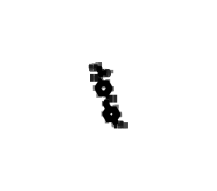 CCCCc1ccc(CN[C@H]2CC[C@H](N[S+]([O-])C(C)(C)C)CC2)cc1